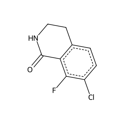 O=C1NCCc2ccc(Cl)c(F)c21